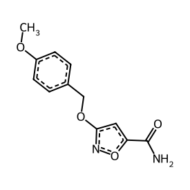 COc1ccc(COc2cc(C(N)=O)on2)cc1